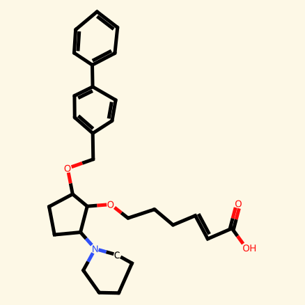 O=C(O)C=CCCCOC1C(OCc2ccc(-c3ccccc3)cc2)CCC1N1CCCCC1